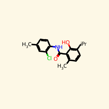 Cc1ccc(NC(=O)c2c(C)ccc(C(C)C)c2O)c(Cl)c1